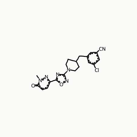 Cn1nc(-c2nc(N3CCC(Cc4cc(Cl)cc(C#N)c4)CC3)no2)ccc1=O